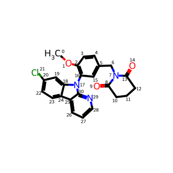 COc1ccc(CN2C(=O)CCCC2=O)cc1-n1c2cc(Cl)ccc2c2cccnc21